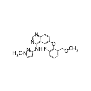 COCc1cccc(F)c1Oc1ccc2ncnc(Nc3ccn(C)n3)c2c1